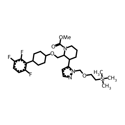 COC(=O)N1CCCC(c2ccnn2COCC[Si](C)(C)C)C1COC1CCC(c2c(F)ccc(F)c2F)CC1